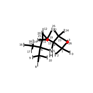 IC(I)(I)C(NC(C(I)(I)I)(C(I)(I)I)C(I)(I)I)(C(I)(I)I)C(I)(I)I